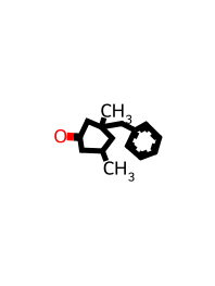 CC1CC(=O)CC(C)(Cc2ccccc2)C1